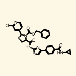 O=C(NC1CC1)c1ccc(-c2csc(NC(=O)C3CSC(c4ccnc(Cl)c4)N3C(=O)OCc3ccccc3)n2)cc1